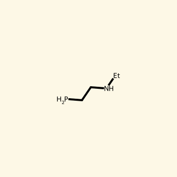 CCNCCP